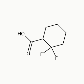 O=C(O)C1CCCCC1(F)F